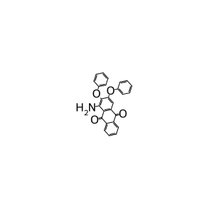 Nc1c(Oc2ccccc2)c(Oc2ccccc2)cc2c1C(=O)c1ccccc1C2=O